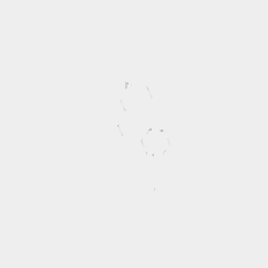 O=C1CCCC2=C1C(c1ccc(OC(F)(F)F)cc1)C1=C(CCS1)N2